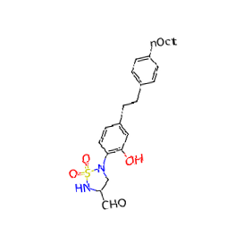 CCCCCCCCc1ccc(CCc2ccc(N3CC(C=O)NS3(=O)=O)c(O)c2)cc1